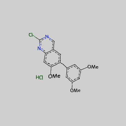 COc1cc(OC)cc(-c2cc3cnc(Cl)nc3cc2OC)c1.Cl